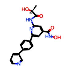 C[C@H](O)C(=O)Nc1cc(C(=O)NO)cc(-c2ccc(-c3cccnc3)cc2)n1